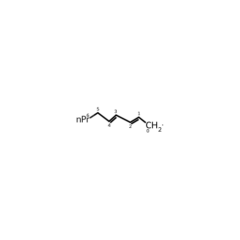 [CH2]C=CC=CCCCC